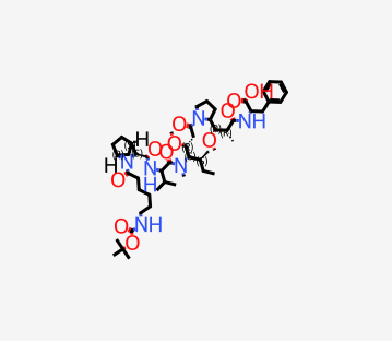 CC[C@H](C)[C@@H]([C@@H](CC(=O)N1CCCC1[C@H](OC)[C@@H](C)C(=O)NC(Cc1ccccc1)C(=O)O)OC)N(C)C(=O)C(NC(=O)[C@@H]1[C@H]2CC[C@H](C2)N1C(=O)CCCCCNC(=O)OC(C)(C)C)C(C)C